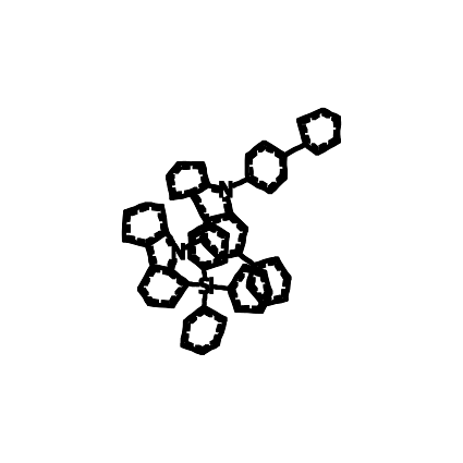 c1ccc(-c2ccc(-n3c4ccccc4c4c(-n5c6ccccc6c6cccc([Si](c7ccccc7)(c7ccccc7)c7ccccc7)c65)cc(-c5ccccc5)cc43)cc2)cc1